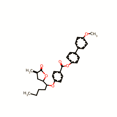 C=C1CC(C(CCCC)Oc2ccc(C(=O)Oc3ccc(-c4ccc(OC)cc4)cc3)cc2)OC1=O